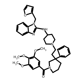 COc1cc(C(=O)N2CCCC(CCN3CCC(Nc4nc5ccccc5n4Cc4ccco4)CC3)(c3ccccc3)C2)cc(OC)c1OC